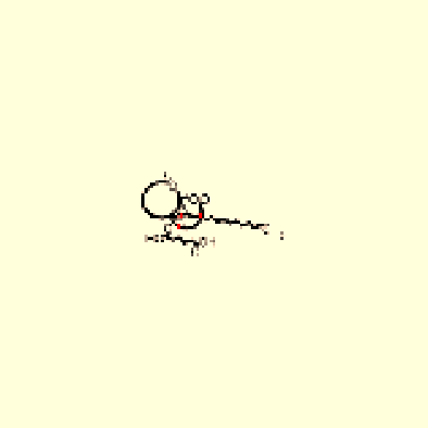 CCCCCCCCCCCCCCCC1CC23COC(=O)CCCCCCCCCC1(CCCCCCCC(=O)OC2)C(=O)OC3.O=C(O)CCCCC(=O)O